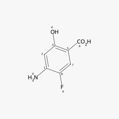 Nc1cc(O)c(C(=O)O)cc1F